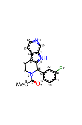 COC(=O)N1CCc2c([nH]c3cnccc23)C1c1cccc(F)c1